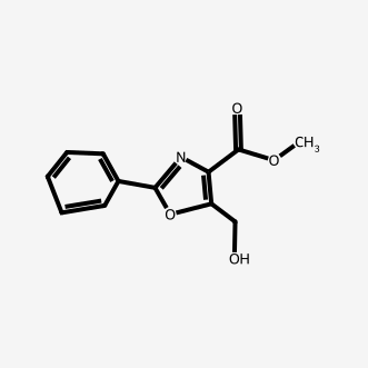 COC(=O)c1nc(-c2ccccc2)oc1CO